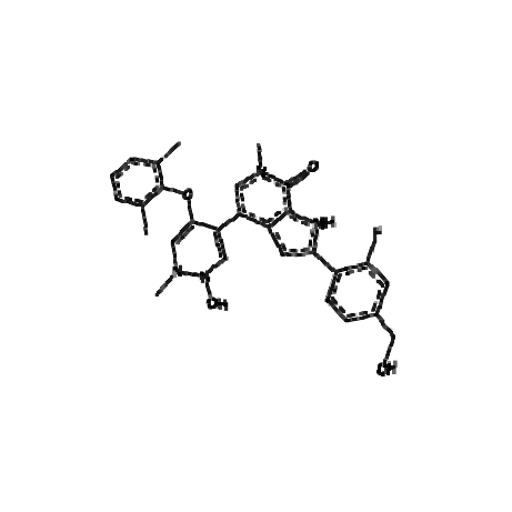 Cc1cccc(C)c1OC1=CN(C)N(O)C=C1c1cn(C)c(=O)c2[nH]c(-c3ccc(CO)cc3F)cc12